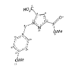 COC(=O)c1cc(C(=O)O)n(Cc2ccc(OC)cc2)n1